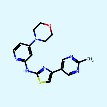 Cc1ncc(-c2csc(Nc3cc(N4CCOCC4)ccn3)n2)cn1